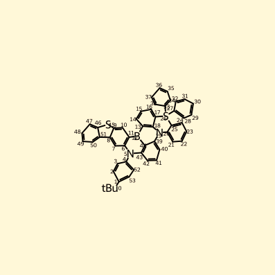 CC(C)(C)c1ccc(N2c3cc4c(cc3B3c5cccc6c5N(c5ccccc5S6(c5ccccc5)c5ccccc5)c5cccc2c53)sc2ccccc24)cc1